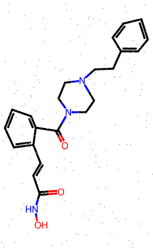 O=C(C=Cc1ccccc1C(=O)N1CCN(CCc2ccccc2)CC1)NO